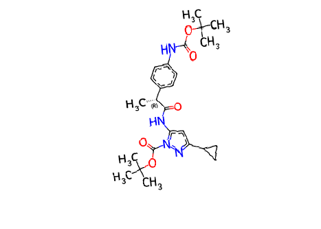 C[C@@H](C(=O)Nc1cc(C2CC2)nn1C(=O)OC(C)(C)C)c1ccc(NC(=O)OC(C)(C)C)cc1